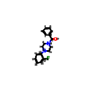 O=C(c1c[c]ccc1)N1CCN(c2ccccc2F)CC1